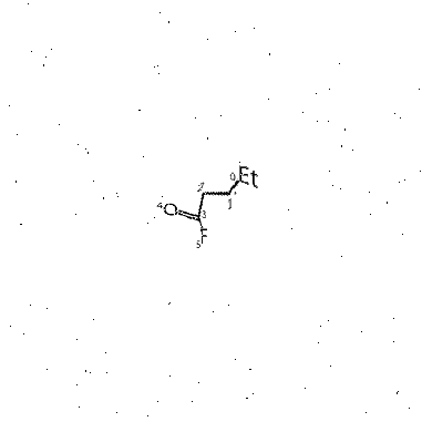 CC[CH]CC(=O)F